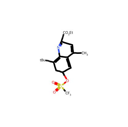 CCOC(=O)c1cc(C)c2c(n1)=C(C(C)(C)C)CC(OS(=O)(=O)C(F)(F)F)C=2